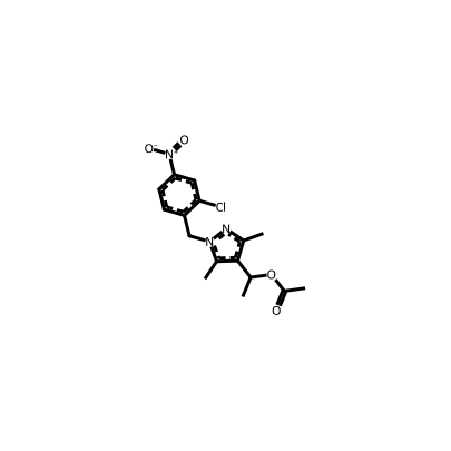 CC(=O)OC(C)c1c(C)nn(Cc2ccc([N+](=O)[O-])cc2Cl)c1C